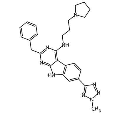 Cn1nnc(-c2ccc3c(c2)[nH]c2nc(Cc4ccccc4)nc(NCCCN4CCCC4)c23)n1